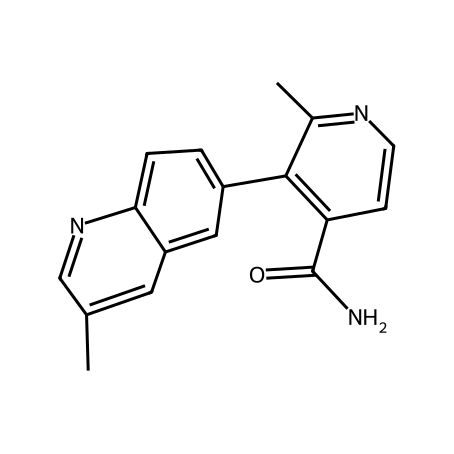 Cc1cnc2ccc(-c3c(C(N)=O)ccnc3C)cc2c1